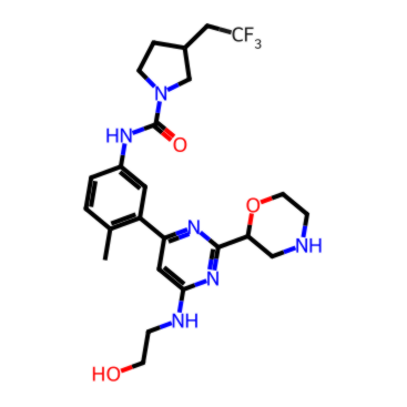 Cc1ccc(NC(=O)N2CCC(CC(F)(F)F)C2)cc1-c1cc(NCCO)nc(C2CNCCO2)n1